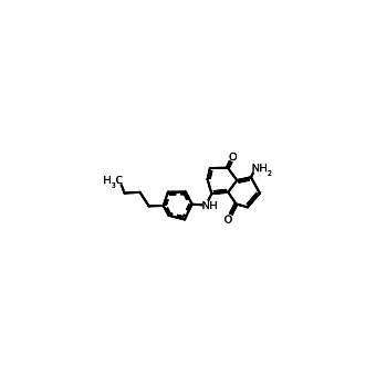 CCCCc1ccc(NC2=C3C(=O)C=CC(N)=C3C(=O)C=C2)cc1